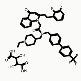 CCN1CCC(CN(Cc2ccc(-c3ccc(C(F)(F)F)cc3)cc2)C(=O)Cn2c(CCc3cccc(F)c3F)cc(=O)c3ccccc32)CC1.O=C(O)C(O)C(O)C(=O)O